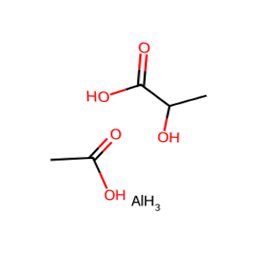 CC(=O)O.CC(O)C(=O)O.[AlH3]